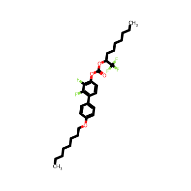 CCCCCCCCOc1ccc(-c2ccc(OC(=O)OC(CCCCCCC)C(F)(F)F)c(F)c2F)cc1